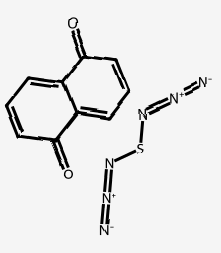 O=C1C=CC=C2C(=O)C=CC=C12.[N-]=[N+]=NSN=[N+]=[N-]